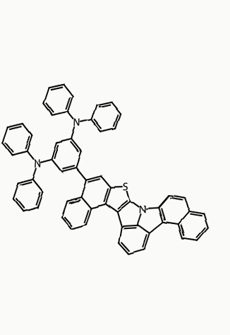 c1ccc(N(c2ccccc2)c2cc(-c3cc4sc5c(c6cccc7c8c9ccccc9ccc8n5c76)c4c4ccccc34)cc(N(c3ccccc3)c3ccccc3)c2)cc1